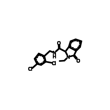 CCN1C(=O)c2ccccc2C1C(=O)NCc1ccc(Cl)cc1Cl